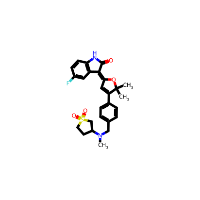 CN(Cc1ccc(C2=CC(=C3C(=O)Nc4ccc(F)cc43)OC2(C)C)cc1)C1CCS(=O)(=O)C1